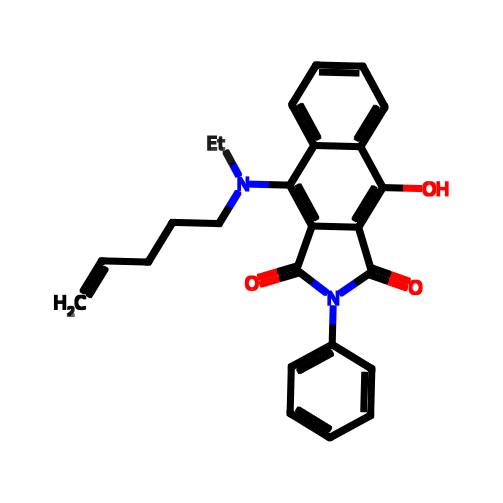 C=CCCCN(CC)c1c2c(c(O)c3ccccc13)C(=O)N(c1ccccc1)C2=O